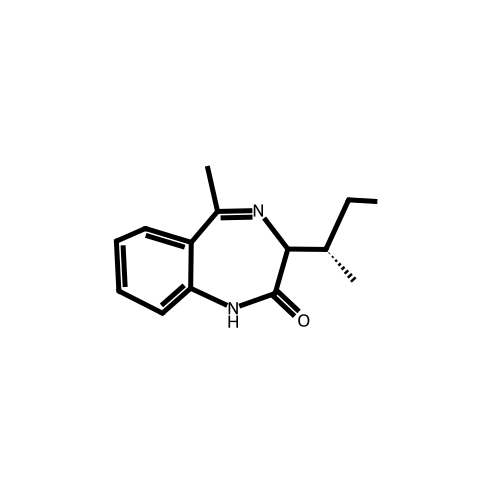 CC[C@H](C)C1N=C(C)c2ccccc2NC1=O